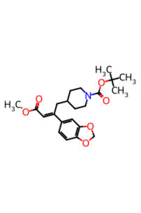 COC(=O)C=C(CC1CCN(C(=O)OC(C)(C)C)CC1)c1ccc2c(c1)OCO2